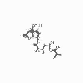 C=C(C)C(=O)OC(CC)CC(C)C(C)C(=O)OC1C2CC3C1OC(=O)C3C2C(=O)O